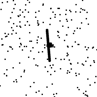 CCCCCCCCCCCCCCCCCC(=O)OC(O)CCCCCCCCCCCCCCCCC.CCOCC